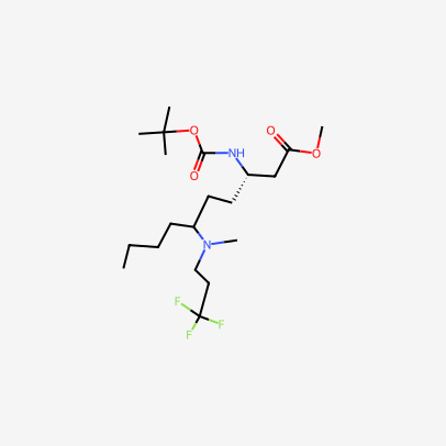 CCCCC(CC[C@@H](CC(=O)OC)NC(=O)OC(C)(C)C)N(C)CCC(F)(F)F